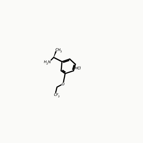 C[C@H](N)c1cccc(OCC(F)(F)F)c1.Cl